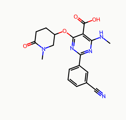 CNc1nc(-c2cccc(C#N)c2)nc(OC2CCC(=O)N(C)C2)c1C(=O)O